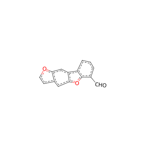 O=Cc1cccc2c1oc1cc3ccoc3cc12